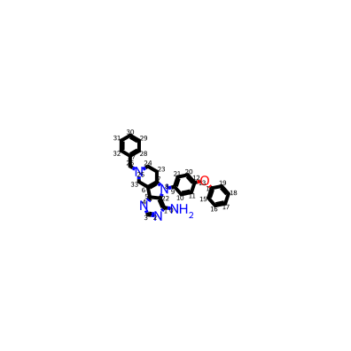 Nc1ncnc2c3c(n(-c4ccc(Oc5ccccc5)cc4)c12)CCN(Cc1ccccc1)C3